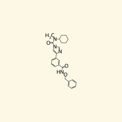 CN(C(=O)n1cnc(-c2cccc(C(=O)NOCc3ccccc3)c2)c1)C1CCCCC1